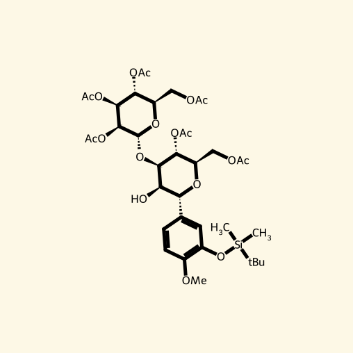 COc1ccc([C@H]2O[C@H](COC(C)=O)[C@@H](OC(C)=O)[C@H](O[C@H]3O[C@H](COC(C)=O)[C@@H](OC(C)=O)[C@H](OC(C)=O)[C@@H]3OC(C)=O)[C@@H]2O)cc1O[Si](C)(C)C(C)(C)C